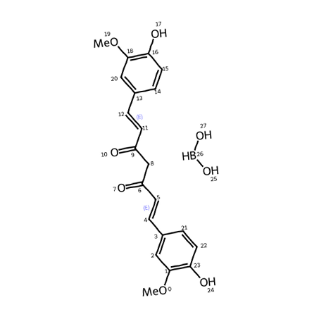 COc1cc(/C=C/C(=O)CC(=O)/C=C/c2ccc(O)c(OC)c2)ccc1O.OBO